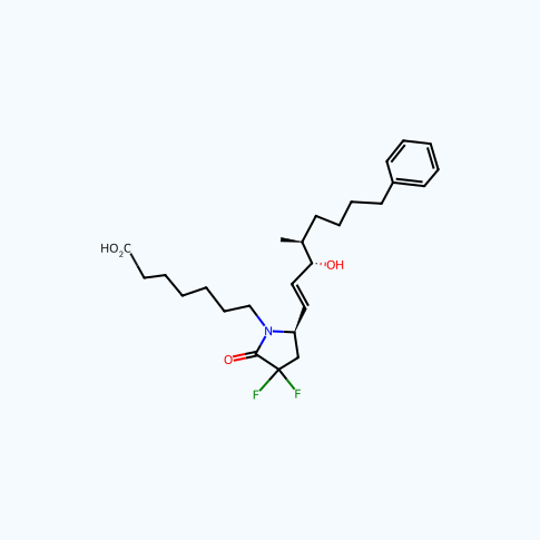 C[C@@H](CCCCc1ccccc1)[C@H](O)/C=C/[C@H]1CC(F)(F)C(=O)N1CCCCCCC(=O)O